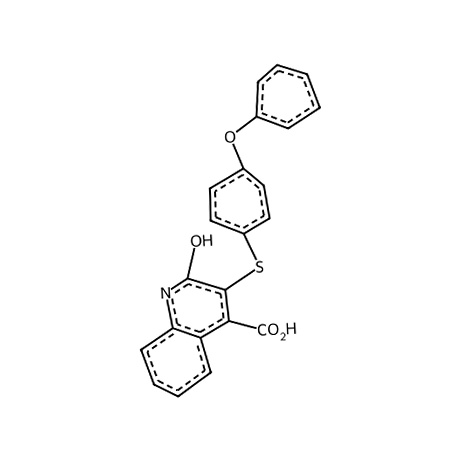 O=C(O)c1c(Sc2ccc(Oc3ccccc3)cc2)c(O)nc2ccccc12